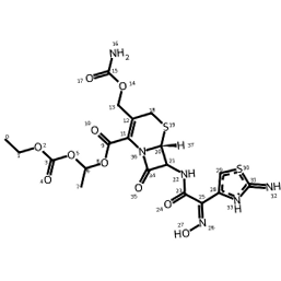 CCOC(=O)OC(C)OC(=O)C1=C(COC(N)=O)CS[C@@H]2C(NC(=O)/C(=N\O)c3csc(=N)[nH]3)C(=O)N12